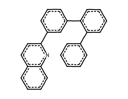 c1ccc(-c2ccccc2-c2cccc(-c3ccc4ccccc4n3)c2)cc1